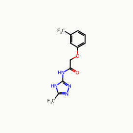 O=C(COc1cccc(C(F)(F)F)c1)Nc1nnc(C(F)(F)F)[nH]1